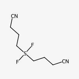 N#CCCCS(F)(F)CCCC#N